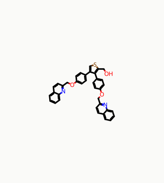 OCc1scc(-c2ccc(OCc3ccc4ccccc4n3)cc2)c1-c1ccc(OCc2ccc3ccccc3n2)cc1